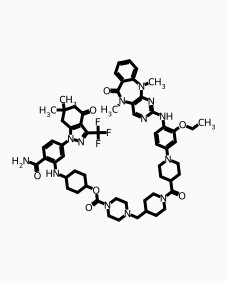 CCOc1cc(N2CCC(C(=O)N3CCC(CN4CCN(C(=O)OC5CCC(Nc6cc(-n7nc(C(F)(F)F)c8c7CC(C)(C)CC8=O)ccc6C(N)=O)CC5)CC4)CC3)CC2)ccc1Nc1ncc2c(n1)N(C)c1ccccc1C(=O)N2C